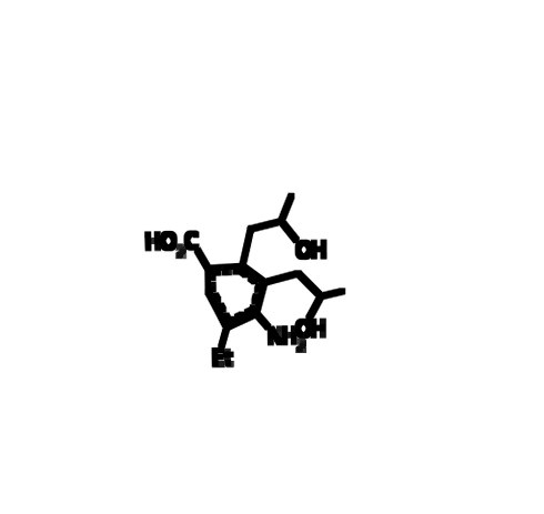 CCc1cc(C(=O)O)c(CC(C)O)c(CC(C)O)c1N